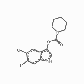 O=C(Oc1c[nH]c2cc(F)c(Cl)cc12)N1CCCCC1